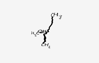 CCCCCCCCCCC(CCCCCCC)OCC(C)O